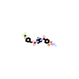 NS(=O)(=O)c1ccc(C(=O)N2CC3CN(C(=O)OCc4ccc(OC(F)(F)F)cc4)C[C@@H]3C2)cc1